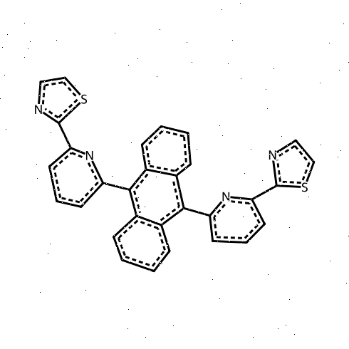 c1cc(-c2nccs2)nc(-c2c3ccccc3c(-c3cccc(-c4nccs4)n3)c3ccccc23)c1